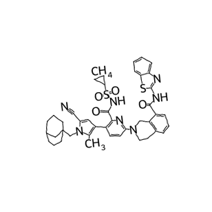 C.Cc1c(-c2ccc(N3CCc4cccc(C(=O)Nc5nc6ccccc6s5)c4C3)nc2C(=O)NS(=O)(=O)C2CC2)cc(C#N)n1CC12CCCC(CCC1)C2